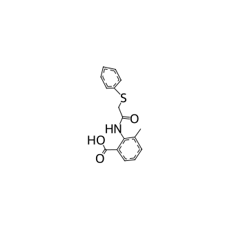 Cc1cccc(C(=O)O)c1NC(=O)CSc1ccccc1